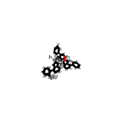 CCCC1=Cc2c(-c3ccccc3C(C)CC)cccc2[CH]1[Zr]([Cl])([Cl])([c]1cccc2c1[SiH2]c1ccccc1-2)[CH]1C(CCC)=Cc2c(-c3ccccc3C(C)CC)cccc21